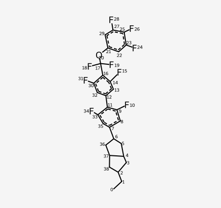 CCC1CC2CC(c3cc(F)c(-c4cc(F)c(C(F)(F)Oc5cc(F)c(F)c(F)c5)c(F)c4)c(F)c3)CC2C1